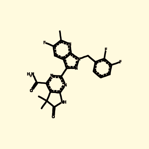 Cc1nc2c(cc1F)c(-c1nc3c(c(C(N)=O)n1)C(C)(C)C(=O)N3)nn2Cc1cccc(F)c1F